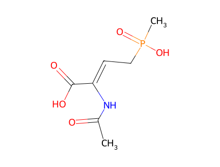 CC(=O)N/C(=C\CP(C)(=O)O)C(=O)O